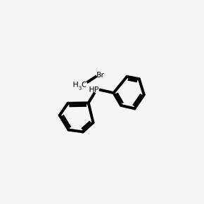 CBr.c1ccc(Pc2ccccc2)cc1